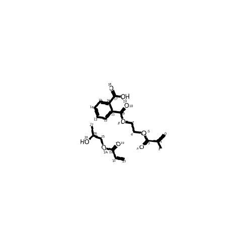 C=C(C)C(=O)OCCOC(=O)c1ccccc1C(=O)O.C=CC(=O)OCC(C)O